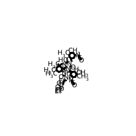 CCO[Si](CCCNC(=O)NC1CC(C)(C)CC(C)(Cn2c(=O)n(CC3(C)CC(N=C=O)CC(C)(C)C3)c(=O)n(CC3(C)CC(N=C=O)CC(C)(C)C3)c2=O)C1)(OCC)OCC